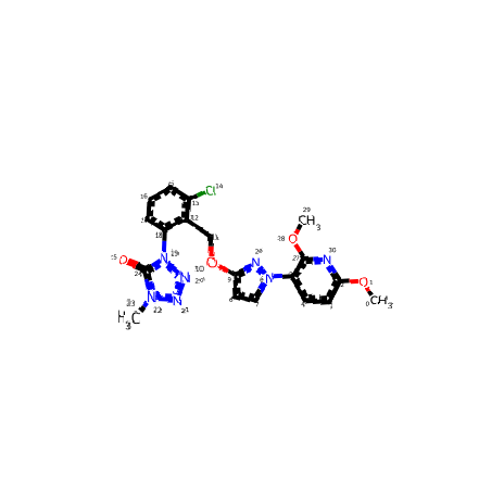 COc1ccc(-n2ccc(OCc3c(Cl)cccc3-n3nnn(C)c3=O)n2)c(OC)n1